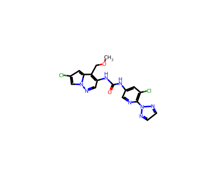 COCc1c(NC(=O)Nc2cnc(-n3nccn3)c(Cl)c2)cnn2cc(Cl)cc12